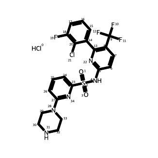 Cl.O=S(=O)(Nc1ccc(C(F)(F)F)c(-c2cccc(F)c2Cl)n1)c1cccc(N2CCNCC2)n1